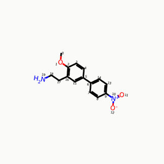 COc1ccc(-c2ccc([N+](=O)[O-])cc2)cc1CCN